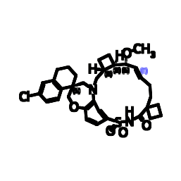 CO[C@@H]1/C=C/CCC2(CCC2)C(=O)NS(=O)(=O)c2ccc3c(c2)N(C[C@@H]2CC[C@H]21)C[C@@]1(CCCc2cc(Cl)ccc21)CO3